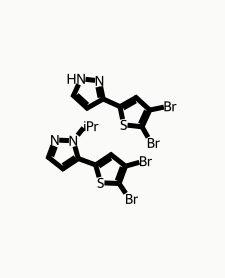 Brc1cc(-c2cc[nH]n2)sc1Br.CC(C)n1nccc1-c1cc(Br)c(Br)s1